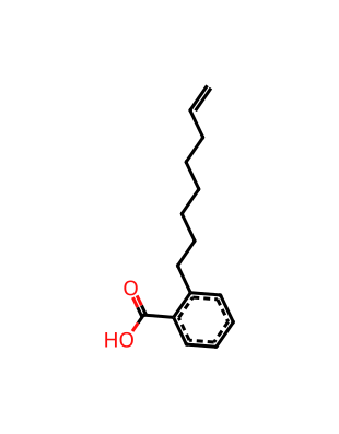 C=CCCCCCCc1ccccc1C(=O)O